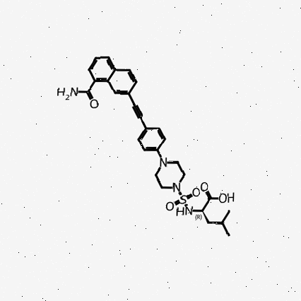 CC(C)C[C@@H](NS(=O)(=O)N1CCN(c2ccc(C#Cc3ccc4cccc(C(N)=O)c4c3)cc2)CC1)C(=O)O